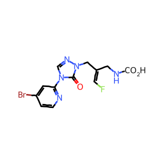 O=C(O)NCC(=CF)Cn1ncn(-c2cc(Br)ccn2)c1=O